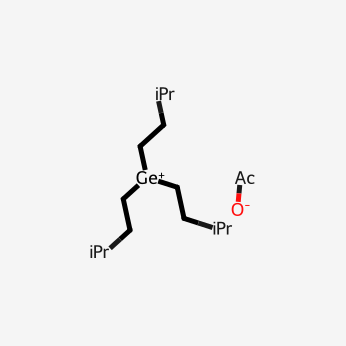 CC(=O)[O-].CC(C)C[CH2][Ge+]([CH2]CC(C)C)[CH2]CC(C)C